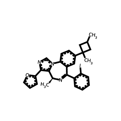 CC1CC(C)(c2ccc3c(c2)C(c2ccccc2I)=N[C@@H](C)c2c(-c4ccco4)ncn2-3)C1